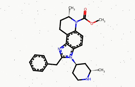 COC(=O)N1c2ccc3c(nc(Cc4ccccc4)n3[C@@H]3CCN[C@@H](C)C3)c2CC[C@@H]1C